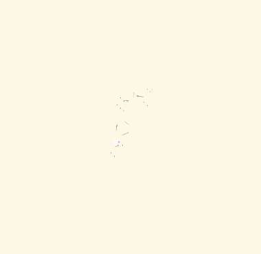 CC(C)N/C=N/c1ccc(-c2nnc(N=C(N)N)s2)cc1